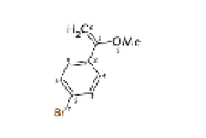 C=C(OC)c1ccc(Br)cc1